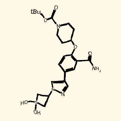 CC(C)(C)OC(=O)N1CCC(Oc2ccc(-c3cnn(C4CS(O)(O)C4)c3)cc2C(N)=O)CC1